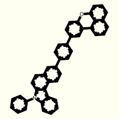 c1ccc(-n2c3ccccc3c3c4ccc(-c5ccc(-c6ccc7c(c6)-c6cccc8cccc(c68)O7)cc5)cc4ccc32)cc1